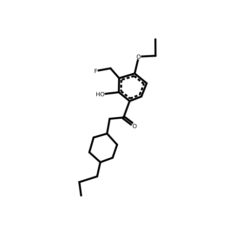 CCCC1CCC(CC(=O)c2ccc(OCC)c(CF)c2O)CC1